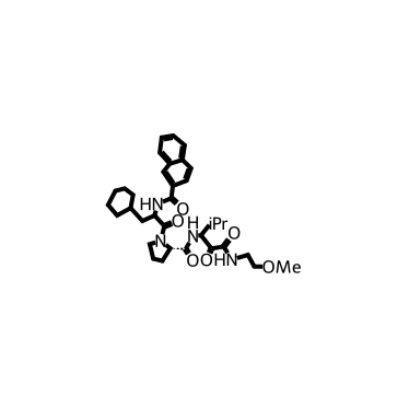 COCCNC(=O)C(=O)C(NC(=O)[C@@H]1CCCN1C(=O)C(CC1CCCCC1)NC(=O)c1ccc2ccccc2c1)C(C)C